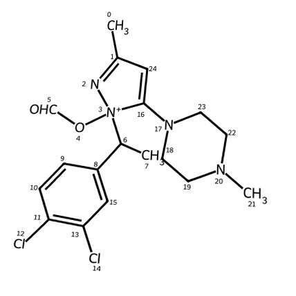 CC1=N[N+](OC=O)(C(C)c2ccc(Cl)c(Cl)c2)C(N2CCN(C)CC2)=C1